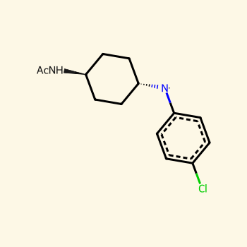 CC(=O)N[C@H]1CC[C@H]([N]c2ccc(Cl)cc2)CC1